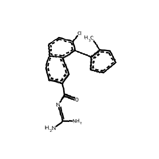 Cc1ccccc1-c1c(Cl)ccc2ccc(C(=O)N=C(N)N)cc12